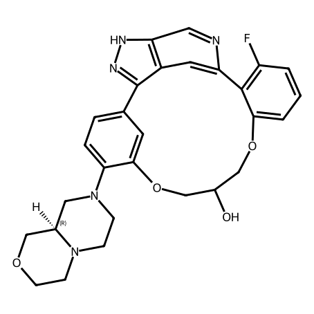 OC1COc2cc(ccc2N2CCN3CCOC[C@H]3C2)-c2n[nH]c3cnc(cc23)-c2c(F)cccc2OC1